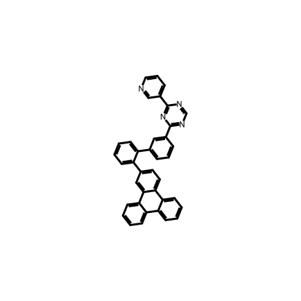 c1cncc(-c2ncnc(-c3cccc(-c4ccccc4-c4ccc5c6ccccc6c6ccccc6c5c4)c3)n2)c1